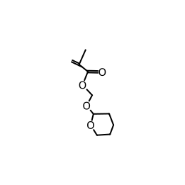 C=C(C)C(=O)OCOC1CCCCO1